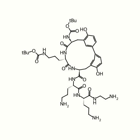 CC(C)(C)OC(=O)NCCC[C@@H]1NC(=O)[C@@H](NC(=O)OC(C)(C)C)Cc2cc(ccc2O)-c2ccc(O)c(c2)C[C@@H](C(=O)N[C@@H](CCCN)C(=O)N[C@@H](CCCN)C(=O)NCCN)NC1=O